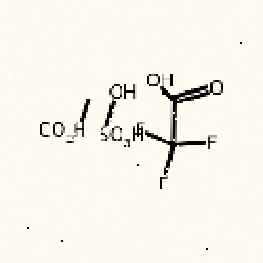 CC(=O)O.O=C(O)C(F)(F)F.O=S(=O)(O)O